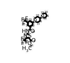 CCOC(=O)c1sc(NC(=O)c2cc(N3CCC(N4CCCC4)CC3)cc(C(F)(F)F)c2)nc1C(F)(F)F